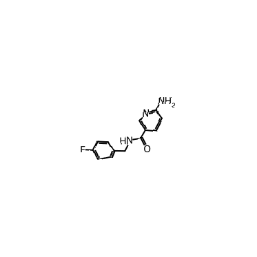 Nc1ccc(C(=O)NCc2ccc(F)cc2)cn1